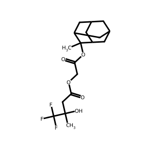 CC1(OC(=O)COC(=O)CC(C)(O)C(F)(F)F)C2CC3CC(C2)CC1C3